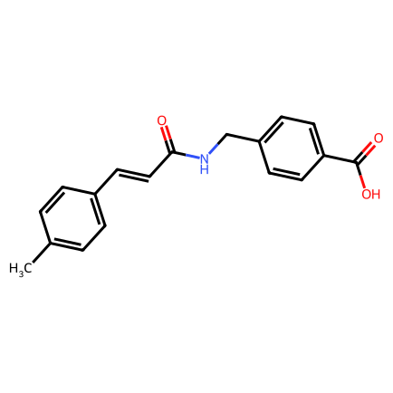 Cc1ccc(C=CC(=O)NCc2ccc(C(=O)O)cc2)cc1